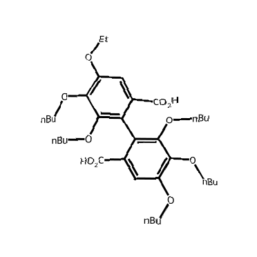 CCCCOc1cc(C(=O)O)c(-c2c(C(=O)O)cc(OCC)c(OCCCC)c2OCCCC)c(OCCCC)c1OCCCC